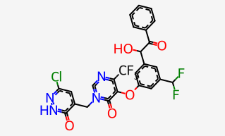 O=C(c1ccccc1)C(O)c1cc(Oc2c(C(F)(F)F)ncn(Cc3cc(Cl)n[nH]c3=O)c2=O)cc(C(F)F)c1